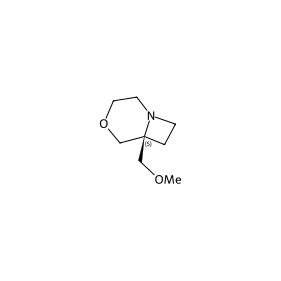 COC[C@]12CCN1CCOC2